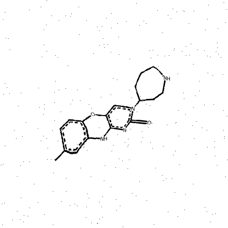 Cc1ccc2c(c1)Nc1nc(=O)n(C3CCCNCC3)cc1O2